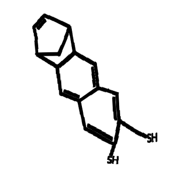 Sc1cc2c(cc1S)=CC1C3C=CC(C3)C1C=2